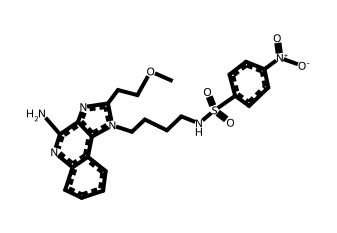 COCCc1nc2c(N)nc3ccccc3c2n1CCCCNS(=O)(=O)c1ccc([N+](=O)[O-])cc1